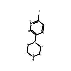 Ic1ccc(N2CCNCC2)cn1